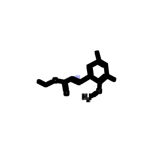 CCOC(=O)/C=C/c1cc(C)cc(C)c1OP